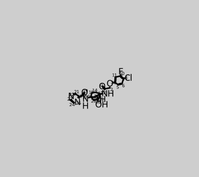 O=C(COc1ccc(Cl)c(F)c1)NC12CCC(NC(=O)c3cnccn3)(CC1)C[C@@H]2O